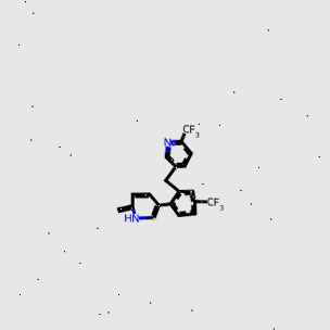 C=C1C=CC(c2ccc(C(F)(F)F)cc2Cc2ccc(C(F)(F)F)nc2)=CN1